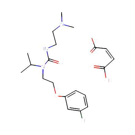 CC(C)N(CCOc1cccc(Cl)c1)C(=O)NCCN(C)C.O=C(O)/C=C\C(=O)O